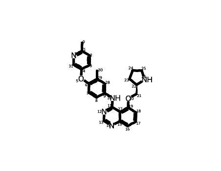 Cc1ccc(Oc2ccc(Nc3ncnc4cccc(OC[C@H]5CCCN5)c34)cc2C)cn1